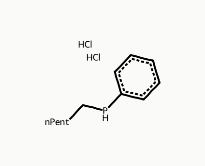 CCCCCCPc1ccccc1.Cl.Cl